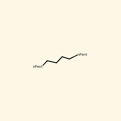 [CH2]CCC[CH]CCCCCCCC[CH2]